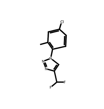 Cc1cc(Cl)ccc1-n1cc(C(F)F)nn1